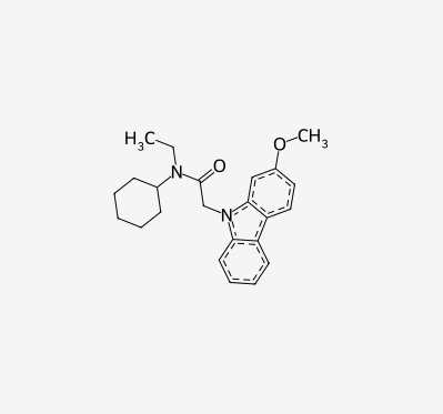 CCN(C(=O)Cn1c2ccccc2c2ccc(OC)cc21)C1CCCCC1